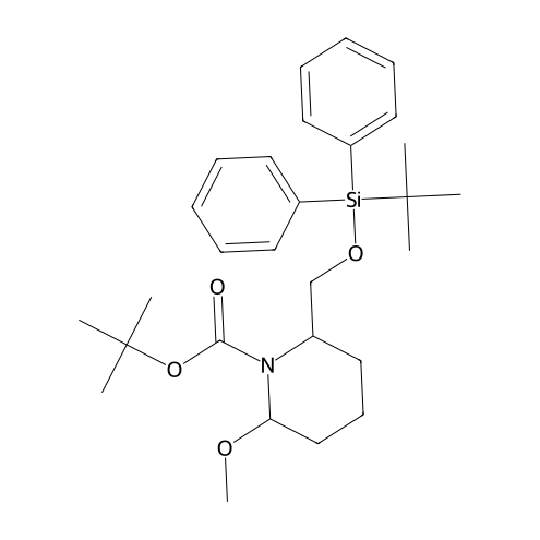 COC1CCCC(CO[Si](c2ccccc2)(c2ccccc2)C(C)(C)C)N1C(=O)OC(C)(C)C